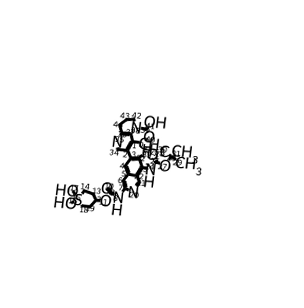 Cc1c(-c2cc3cc(NC(=O)OC4CCS(O)(O)CC4)ncc3c(NC(=O)OC(C)(C)C)c2F)cnc2c1N(C(=O)O)CCC2